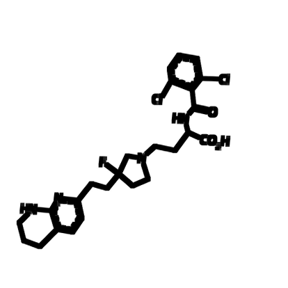 O=C(NC(CCN1CCC(F)(CCc2ccc3c(n2)NCCC3)C1)C(=O)O)c1c(Cl)cccc1Cl